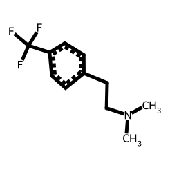 CN(C)CCc1ccc(C(F)(F)F)cc1